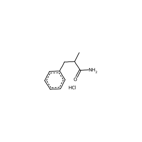 CC(Cc1ccccc1)C(N)=O.Cl